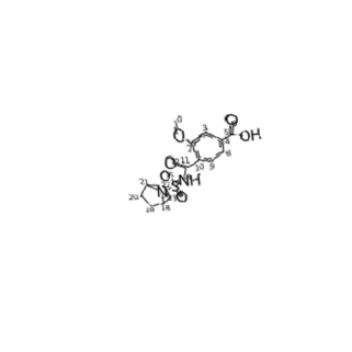 COc1cc(C(=O)O)ccc1C(=O)NS(=O)(=O)N1C2CCC1CC2